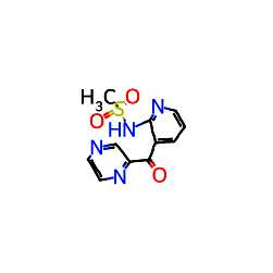 CS(=O)(=O)Nc1ncccc1C(=O)c1cnccn1